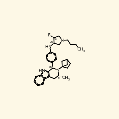 CCCCN1C[C@H](F)[C@H](Nc2ccc([C@@H]3c4[nH]c5ccccc5c4C[C@@H](C)N3C34CCC(C3)C4)cc2)C1